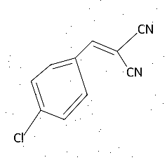 N#CC(C#N)=Cc1ccc(Cl)cc1